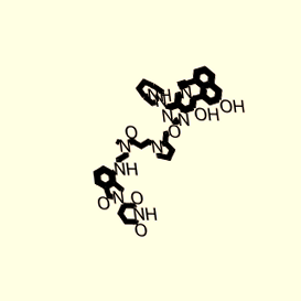 C#Cc1cccc2cc(O)cc(-c3ncc4c(N5CC6CCC(C5)N6)nc(OCC5CCCN5CCC(=O)N(C)CCNc5cccc6c5CN(C5CCC(=O)NC5=O)C6=O)nc4c3O)c12